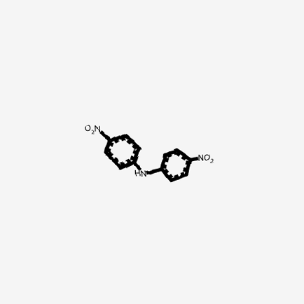 O=[N+]([O-])c1ccc(Nc2ccc([N+](=O)[O-])cc2)cc1